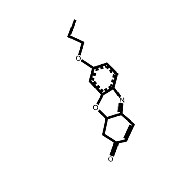 CCCOc1ccc2c(c1)OC1CC(=O)C=CC1=N2